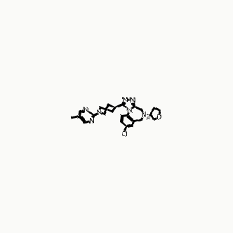 Cc1cnc(N2CC3(CC(c4nnc5n4-c4ccc(Cl)cc4CN([C@@H]4CCOC4)C5)C3)C2)nc1